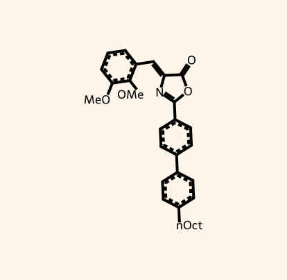 CCCCCCCCc1ccc(-c2ccc(C3=N/C(=C\c4cccc(OC)c4OC)C(=O)O3)cc2)cc1